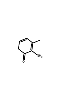 CC1=C(N)C(=O)CC=C1